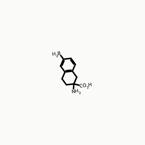 Bc1ccc2c(c1)CCC(N)(C(=O)O)C2